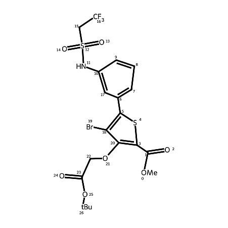 COC(=O)c1sc(-c2cccc(NS(=O)(=O)CC(F)(F)F)c2)c(Br)c1OCC(=O)OC(C)(C)C